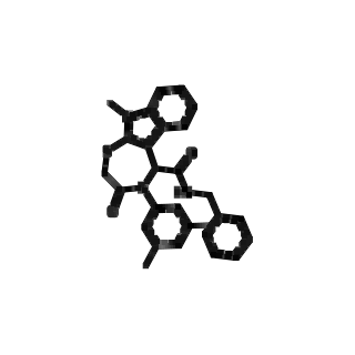 Cc1cc(C)cc(N2C(=O)CSc3c(c4ccccc4n3C)C2C(=O)NCc2ccccc2)c1